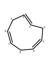 C1=C\C/C=C/C/C=C\C/1